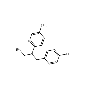 Cc1ccc(CN(CC(C)C)c2ccc(C)cn2)cc1